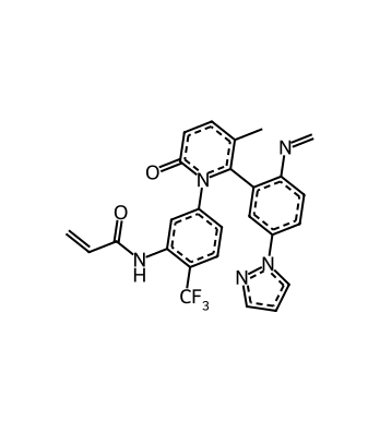 C=CC(=O)Nc1cc(-n2c(-c3cc(-n4cccn4)ccc3N=C)c(C)ccc2=O)ccc1C(F)(F)F